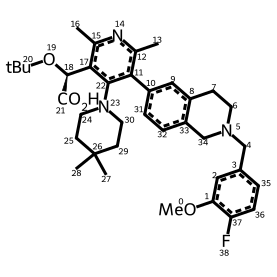 COc1cc(CN2CCc3cc(-c4c(C)nc(C)c([C@H](OC(C)(C)C)C(=O)O)c4N4CCC(C)(C)CC4)ccc3C2)ccc1F